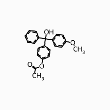 COc1ccc(C(O)(c2ccccc2)c2ccc(OC(C)=O)cc2)cc1